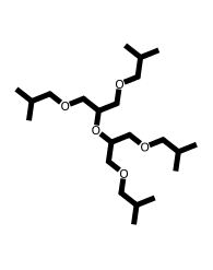 CC(C)COCC(COCC(C)C)OC(COCC(C)C)COCC(C)C